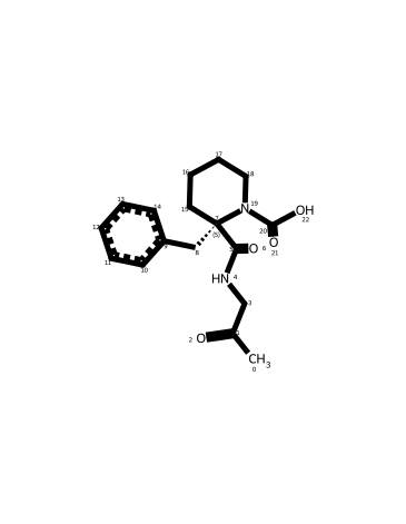 CC(=O)CNC(=O)[C@@]1(Cc2ccccc2)CCCCN1C(=O)O